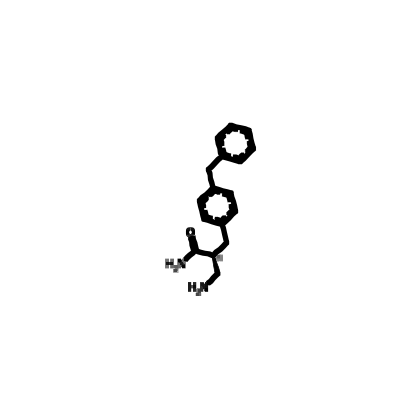 NC[C@H](Cc1ccc(Cc2ccccc2)cc1)C(N)=O